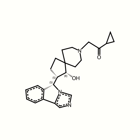 O=C(CN1CCC2(CC[C@@H]([C@H]3c4ccccc4-c4cncn43)[C@H]2O)CC1)C1CC1